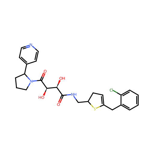 O=C(NCC1CC=C(Cc2ccccc2Cl)S1)[C@H](O)[C@@H](O)C(=O)N1CCCC1c1ccncc1